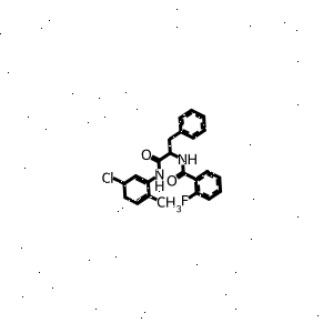 CC1=CCC(Cl)C=C1NC(=O)C(Cc1ccccc1)NC(=O)c1ccccc1F